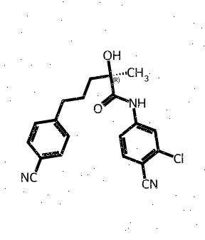 C[C@@](O)(CCCc1ccc(C#N)cc1)C(=O)Nc1ccc(C#N)c(Cl)c1